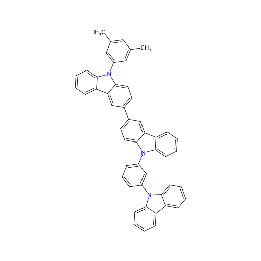 Cc1cc(C)cc(-n2c3ccccc3c3cc(-c4ccc5c(c4)c4ccccc4n5-c4cccc(-n5c6ccccc6c6ccccc65)c4)ccc32)c1